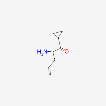 C=CC[C@@H](N)C(=O)C1CC1